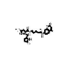 Cc1cc(=O)oc2cc(NC(=O)CCCCNC(=O)C(CC(N)=O)NC(=O)C3CCC(=O)N3)ccc12